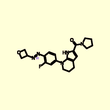 O=C(c1cc2c([nH]1)N(c1ccc(/N=N/C3COC3)c(F)c1)CCC2)N1CCCC1